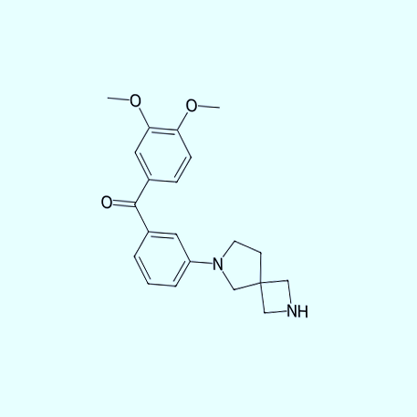 COc1ccc(C(=O)c2cccc(N3CCC4(CNC4)C3)c2)cc1OC